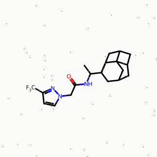 CC(NC(=O)Cn1ccc(C(F)(F)F)n1)C12CC3CC4CC(C1)C4(C3)C2